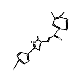 Cc1ccc(C(=O)C=Cc2cc(-c3ccc(F)cc3)n[nH]2)cc1C